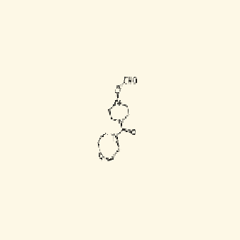 O=CON1CCN(C(=O)N2CCOCC2)CC1